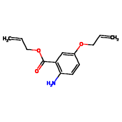 C=CCOC(=O)c1cc(OCC=C)ccc1N